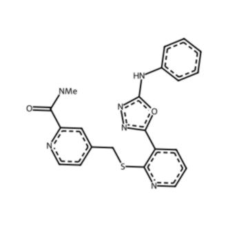 CNC(=O)c1cc(CSc2ncccc2-c2nnc(Nc3ccccc3)o2)ccn1